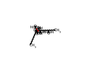 CCCCCCCCCCCCCCC(C(=O)N(CCP(=O)(O)O)CC(C(CCCCCCCC(CCCCCCC)P(=O)(O)O)P(=O)(O)O)S(=O)(=O)O)S(=O)(=O)O